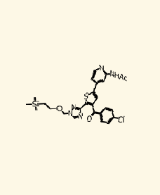 CC(=O)Nc1cc(-c2cc(C(=O)c3ccc(Cl)cc3)c(-c3ncn(COCC[Si](C)(C)C)n3)s2)ccn1